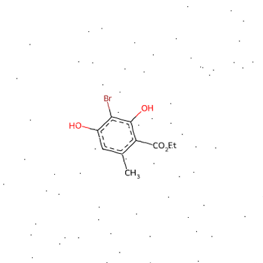 CCOC(=O)c1c(C)cc(O)c(Br)c1O